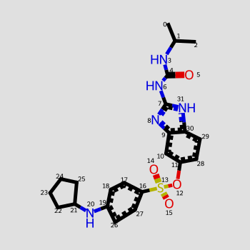 CC(C)NC(=O)Nc1nc2cc(OS(=O)(=O)c3ccc(NC4CCCC4)cc3)ccc2[nH]1